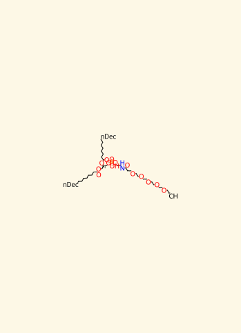 C#CCOCCOCCOCCOCCOCCC(=O)NCCOP(=O)(O)OC[C@@H](COC(=O)CCCCCCCCCCCCCCCCC)OC(=O)CCCCCCCCCCCCCCCCC